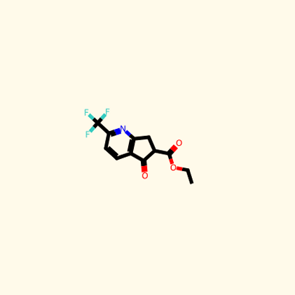 CCOC(=O)C1Cc2nc(C(F)(F)F)ccc2C1=O